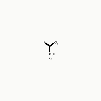 O=S(=O)(O)C(F)C(F)(F)F.[KH]